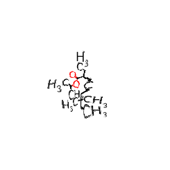 CCC(C=C=CCC(C)(C)CC)C(=O)OC(C)C